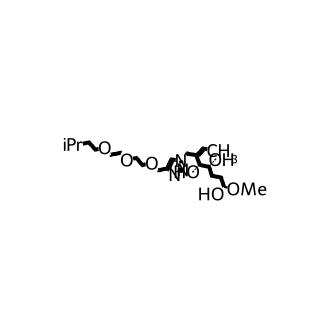 C/C=C(/Cn1cc(COCCOCCOCCC(C)C)nn1)[C@@H](O)[C@H](O)CC[C@H](O)OC